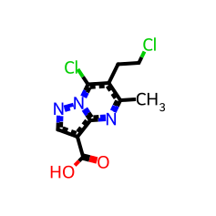 Cc1nc2c(C(=O)O)cnn2c(Cl)c1CCCl